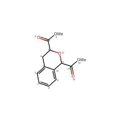 COC(=O)C1Cc2ccccc2C(C(=O)OC)O1